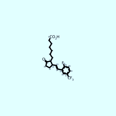 O=C(O)CCCCCCC1C(=O)CCC1/C=C/c1cc(C(F)(F)F)ccc1F